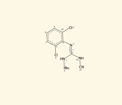 CC(C)(C)N/C(=N\c1c(Cl)cccc1Cl)NC#N